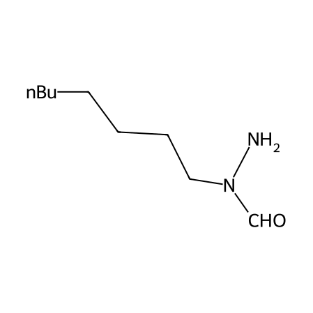 CCCCCCCCN(N)C=O